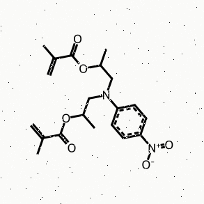 C=C(C)C(=O)OC(C)CN(CC(C)OC(=O)C(=C)C)c1ccc([N+](=O)[O-])cc1